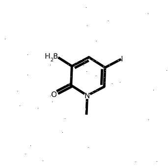 Bc1cc(I)cn(C)c1=O